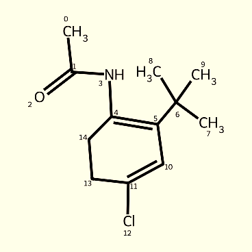 CC(=O)NC1=C(C(C)(C)C)C=C(Cl)CC1